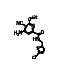 CCOc1nc(C(=O)NCc2ccc(Cl)s2)cc(N)c1C#N